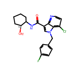 O=C(NC1CCCC[C@@H]1O)c1cn(Cc2ccc(F)cc2)c2c(Cl)ccnc12